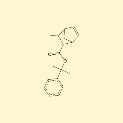 CC1C2C=CC(C2)C1C(=O)OC(C)(C)c1ccccc1